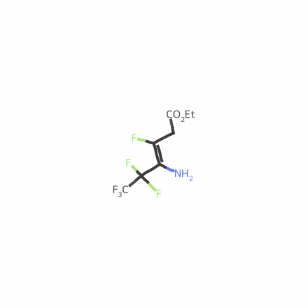 CCOC(=O)CC(F)=C(N)C(F)(F)C(F)(F)F